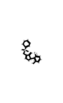 C=C1C(CS(C)(C)C2=CC=CCC2)=CCC1c1c(C)cccc1F